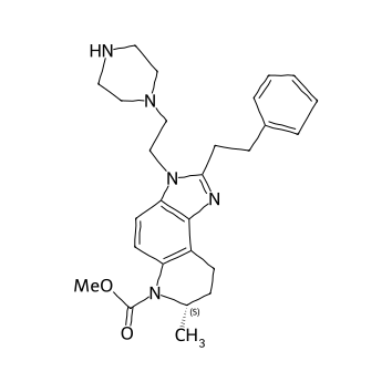 COC(=O)N1c2ccc3c(nc(CCc4ccccc4)n3CCN3CCNCC3)c2CC[C@@H]1C